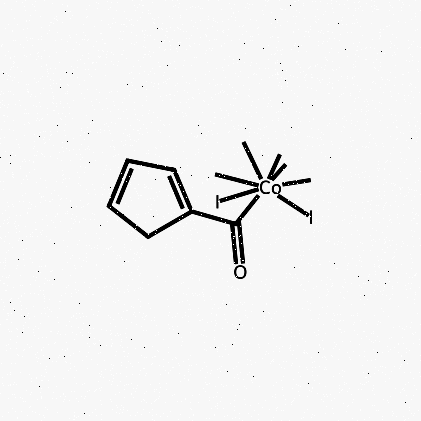 [CH3][Co]([CH3])([CH3])([CH3])([CH3])([I])([I])[C](=O)C1=CC=CC1